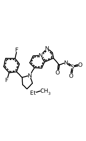 CCC.O=C(N=S(=O)=O)c1cnn2ccc(N3CCCC3c3cc(F)ccc3F)cc12